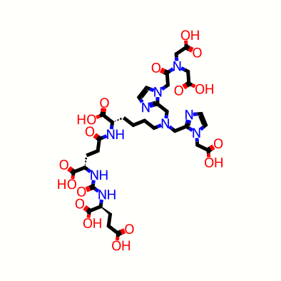 O=C(O)CC[C@H](NC(=O)N[C@@H](CCC(=O)N[C@@H](CCCCN(Cc1nccn1CC(=O)O)Cc1nccn1CC(=O)N(CC(=O)O)CC(=O)O)C(=O)O)C(=O)O)C(=O)O